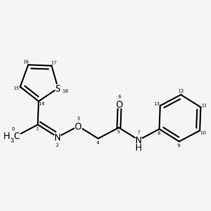 C/C(=N/OCC(=O)Nc1ccccc1)c1cccs1